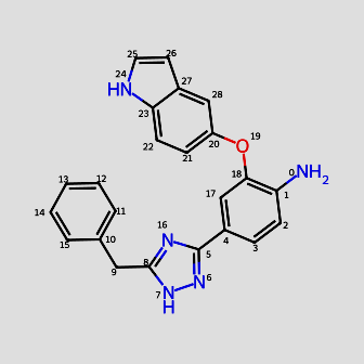 Nc1ccc(-c2n[nH]c(Cc3ccccc3)n2)cc1Oc1ccc2[nH]ccc2c1